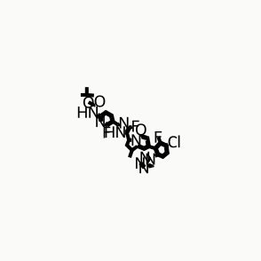 CC1CC(c2[nH]c(-c3ccc(NC(=O)OC(C)(C)C)nc3F)nc2F)n2c1cc(-c1c(-n3cnnn3)ccc(Cl)c1F)cc2=O